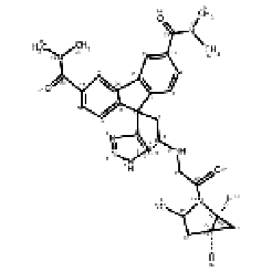 C[C@H](CC1(c2nn[nH]n2)c2ccc(C(=O)N(C)C)cc2-c2cc(C(=O)N(C)C)ccc21)NCC(=O)N1C(C#N)C[C@@H]2C[C@@H]21